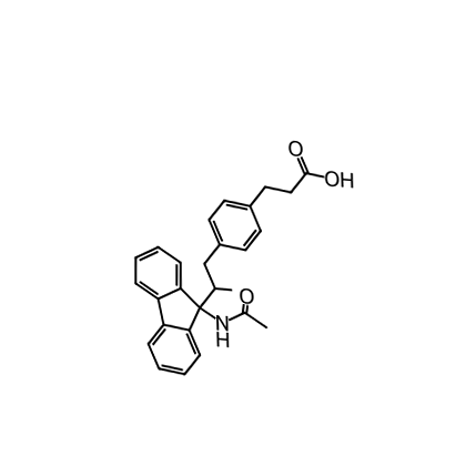 CC(=O)NC1(C(C)Cc2ccc(CCC(=O)O)cc2)c2ccccc2-c2ccccc21